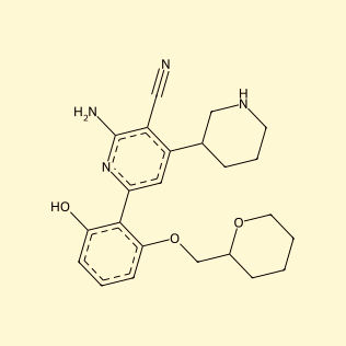 N#Cc1c(C2CCCNC2)cc(-c2c(O)cccc2OCC2CCCCO2)nc1N